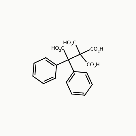 O=C(O)C(C(=O)O)(C(=O)O)C(C(=O)O)(c1ccccc1)c1ccccc1